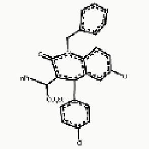 CCCC(C(=O)OCC)c1c(-c2ccc(Cl)cc2)c2cc(Cl)ccc2n(Cc2ccncc2)c1=O